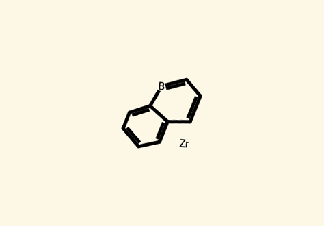 [Zr].b1cccc2ccccc12